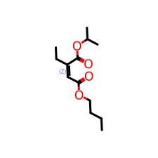 CCCCOC(=O)/C=C(/CC)C(=O)OC(C)C